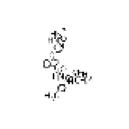 Cc1ccc(-n2nc(C(C)(C)C)cc2NC(=O)Nc2ccc(Oc3ccnc(NC(=O)NC4CC4)c3)c3ccccc23)cc1